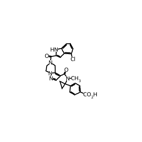 CN(C(=O)c1cnn2c1CN(C(=O)c1cc3c(Cl)cccc3[nH]1)CC2)C1(c2ccc(C(=O)O)cc2)CC1